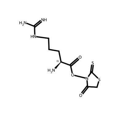 N=C(N)NCCC[C@H](N)C(=O)ON1C(=O)CSC1=S